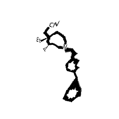 CC[C@@]1(CC#N)CCN(Cc2ccc(-c3ccccc3)cc2)C[C@@H]1F